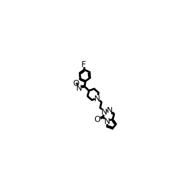 O=c1n(CCN2CCC(c3noc4cc(F)ccc34)CC2)ncc2cccn12